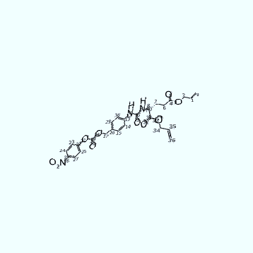 C=CCOC(=O)CC[C@@H](NC(=O)Nc1ccc(COC(=O)Oc2ccc([N+](=O)[O-])cc2)cc1)C(=O)OCC=C